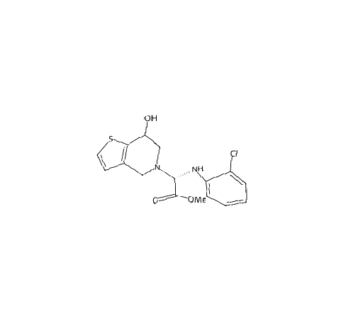 COC(=O)[C@@H](Nc1ccccc1Cl)N1Cc2ccsc2C(O)C1